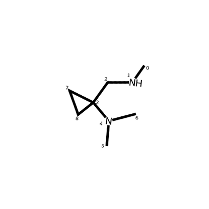 CNCC1(N(C)C)CC1